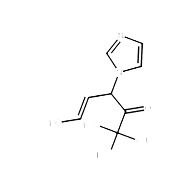 CC=CC(C(=O)C(C)(C)C)n1ccnc1